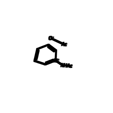 CC(=O)N[n+]1ccccc1.CC(=O)[O-]